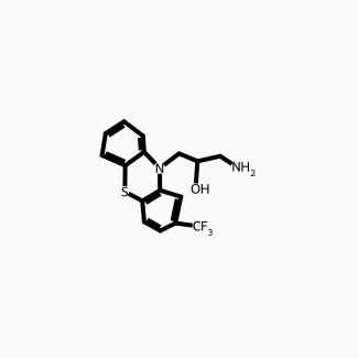 NCC(O)CN1c2ccccc2Sc2ccc(C(F)(F)F)cc21